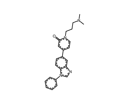 CN(C)CCCn1ccc(-c2ccc3c(c2)ncn3-c2ccccc2)cc1=O